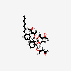 CCCCCCC[C@H]1CC[C@H](C2CCCC(OCCC)([SiH2]OC(C)=CC(C)=O)C2([SiH2]OC(C)=CC(C)=O)[SiH2]OC(C)=CC(C)=O)CC1